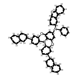 c1ccc(N(c2cc3c4c(c2)Oc2cc(-c5ccc6ccccc6c5)ccc2B4c2ccc(-c4ccc5ccccc5c4)cc2O3)c2ccc3oc4ccccc4c3c2)cc1